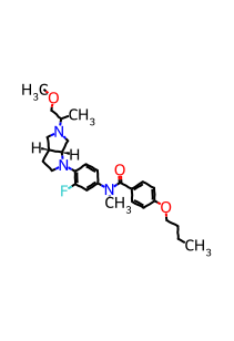 CCCCOc1ccc(C(=O)N(C)c2ccc(N3CC[C@@H]4CN(C(C)COC)C[C@@H]43)c(F)c2)cc1